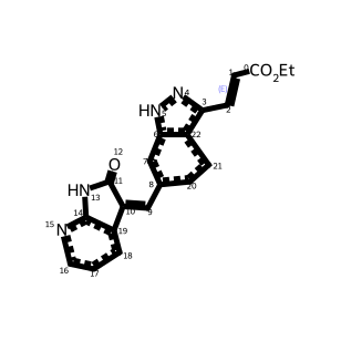 CCOC(=O)/C=C/c1n[nH]c2cc(C=C3C(=O)Nc4ncccc43)ccc12